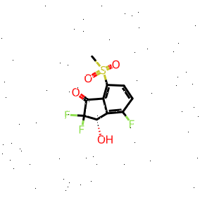 CS(=O)(=O)c1ccc(F)c2c1C(=O)C(F)(F)[C@H]2O